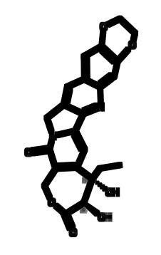 CC[C@]1(O)c2cc3n(c(=O)c2COC(=O)[C@@H]1O)Cc1cc2cc4c(cc2nc1-3)OCCO4